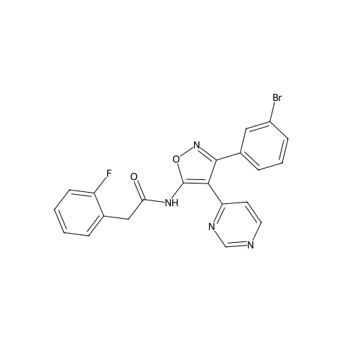 O=C(Cc1ccccc1F)Nc1onc(-c2cccc(Br)c2)c1-c1ccncn1